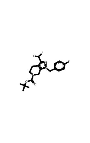 CC(C)(C)OC(=O)N1CCc2c(C(F)F)nn(Cc3ccc(F)cc3)c2C1